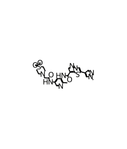 Cc1ncc(NC(=O)CN2CCS(=O)(=O)CC2)cc1NC(=O)c1cnn2cc(-c3cnn(C)c3)sc12